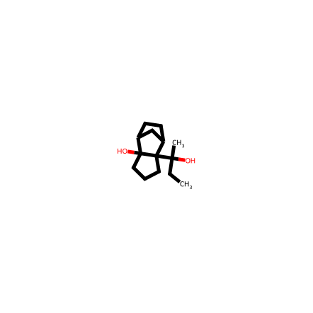 CCC(C)(O)C12CCCC1(O)C1CCC2C1